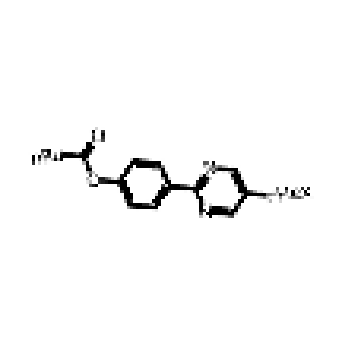 CCCCCCc1cnc(-c2ccc(OC(=O)CCCC)cc2)nc1